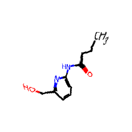 CCCC(=O)Nc1cccc(CO)n1